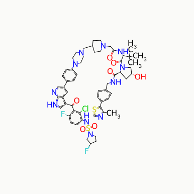 Cc1ncsc1-c1ccc(CNC(=O)[C@@H]2C[C@@H](O)CN2C(=O)[C@@H](NC(=O)CN2CCC(CN3CCN(c4ccc(-c5cnc6[nH]cc(C(=O)c7c(F)ccc(NS(=O)(=O)N8CC[C@@H](F)C8)c7Cl)c6c5)cc4)CC3)CC2)C(C)(C)C)cc1